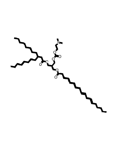 CCCCCC=CCC=CCCCCCCCC(=O)OCC(COC(=O)CC(CCCCCCCC)CCCCCCCC)COC(=O)OCCN(C)C